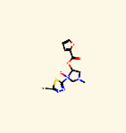 CN1CC(OC(=O)c2ccco2)[N+]([O-])(c2nnc(C(C)(C)C)s2)C1